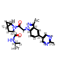 CC(=O)c1nn(CC(=O)N2[C@H](C(=O)N[C@@H](C)C(C)C)C[C@@]3(C)C[C@@H]23)c2ccc(-c3cnc(C)nc3)cc12